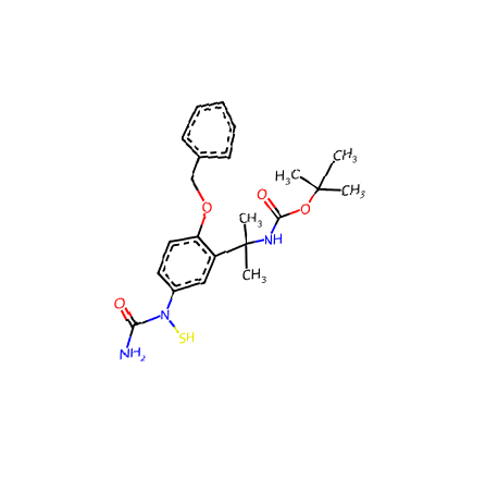 CC(C)(C)OC(=O)NC(C)(C)c1cc(N(S)C(N)=O)ccc1OCc1ccccc1